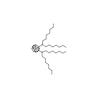 CCCCCCCP(CCCCCCC)[C]12[CH]3[CH]4[CH]5[C]1(P(CCCCCCC)CCCCCCC)[Fe]43521678[CH]2[CH]1[CH]6[CH]7[CH]28